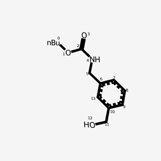 CCCCOC(=O)NCc1cccc(CO)c1